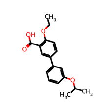 CCOc1ccc(-c2cccc(OC(C)C)c2)cc1C(=O)O